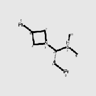 CC(C)C[C@H](N1CC(C(C)C)C1)[SH](C)C